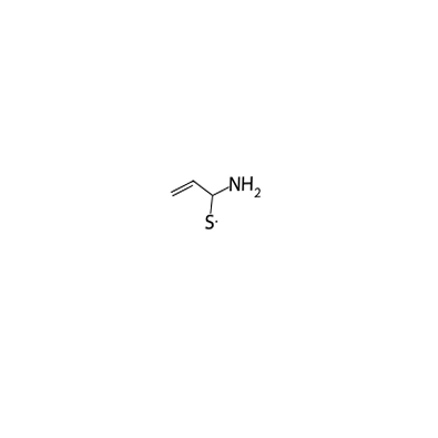 C=CC(N)[S]